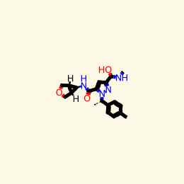 CNC(O)c1cc(C(=O)N[C@H]2[C@@H]3COC[C@@H]32)n([C@@H](C)c2ccc(C)cc2)n1